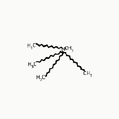 CCCCCCCCCCCCN(C)C(CCCCCCCCCCCC)(CCCCCCCCCCCC)CCCCCCCCCCCC